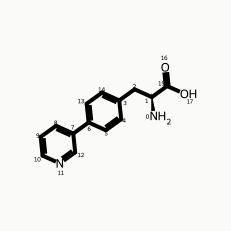 N[C@@H](Cc1ccc(-c2cccnc2)cc1)C(=O)O